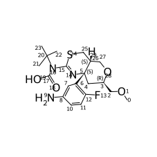 COC[C@H]1C[C@]2(c3cc(N)ccc3F)N=C(N(C(=O)O)C(C)(C)C)SC[C@@H]2CO1